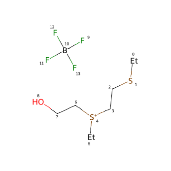 CCSCC[S+](CC)CCO.F[B-](F)(F)F